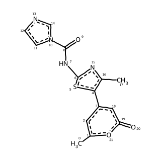 Cc1cc(-c2sc(NC(=O)n3ccnc3)nc2C)cc(=O)o1